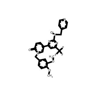 COc1ccc(Cn2cc(-c3cc(C(F)(F)F)nc([S+]([O-])Cc4ccncc4)n3)ccc2=O)cc1OC